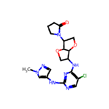 Cn1cc(Nc2ncc(Cl)c(NC3COC4C3OCC4N3CCCC3=O)n2)cn1